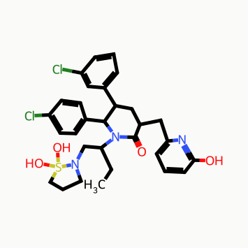 CCC(CN1CCCS1(O)O)N1C(=O)C(Cc2cccc(O)n2)CC(c2cccc(Cl)c2)C1c1ccc(Cl)cc1